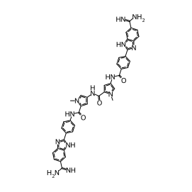 Cn1cc(NC(=O)c2ccc(-c3nc4ccc(C(=N)N)cc4[nH]3)cc2)cc1C(=O)Nc1cc(C(=O)Nc2ccc(-c3nc4ccc(C(=N)N)cc4[nH]3)cc2)n(C)c1